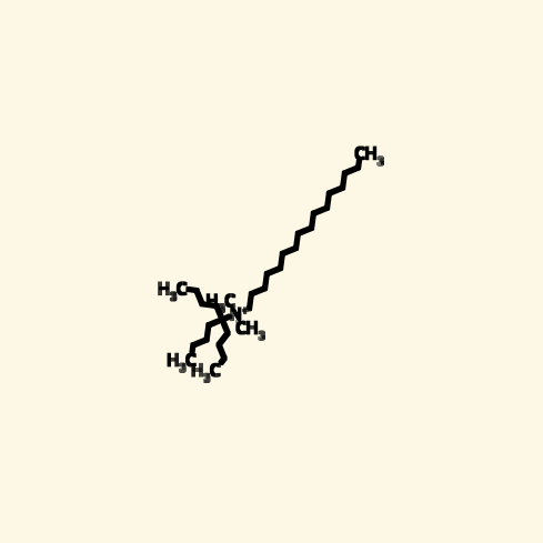 CCCCCCCCCCCCCCCC[N+](C)(C)C(CCCC)(CCCC)CCCC